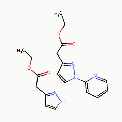 CCOC(=O)Cc1cc[nH]n1.CCOC(=O)Cc1ccn(-c2ccccn2)n1